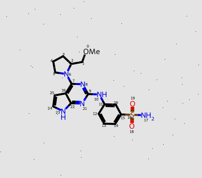 COCC1CCCN1c1nc(Nc2cccc(S(N)(=O)=O)c2)nc2[nH]ccc12